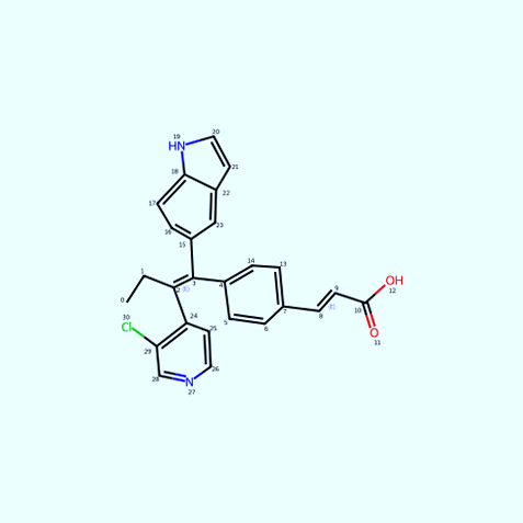 CC/C(=C(/c1ccc(/C=C/C(=O)O)cc1)c1ccc2[nH]ccc2c1)c1ccncc1Cl